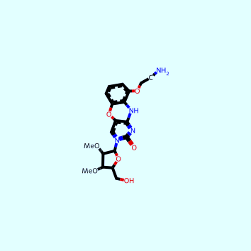 COC1C(CO)OC(n2cc3c(nc2=O)Nc2c(OCCN)cccc2O3)C1OC